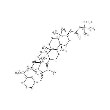 CC(C)C1=C2C3CCC4[C@@]5(C)CC[C@H](OC(=O)CC(C)(C)C(=O)O)C(C)(C)C5CC[C@@]4(C)[C@]3(C)CC[C@@]2(NC(=O)N[C@H](C)C2CCCCC2)CC1=O